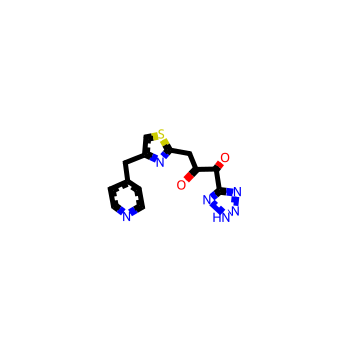 O=C(Cc1nc(Cc2ccncc2)cs1)C(=O)c1nn[nH]n1